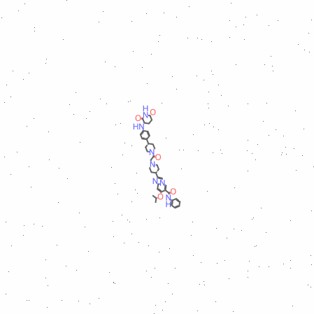 CC(C)Oc1cc2nc(C3CCN(CC(=O)N4CCC(c5ccc(NC6CCC(=O)NC6=O)cc5)CC4)CC3)cn2cc1C(=O)Nc1ccccc1